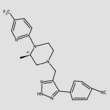 [C-]#[N+]c1ccc(-c2n[nH]nc2CN2CCN(c3ccc(C(F)(F)F)cn3)[C@H](C)C2)cc1